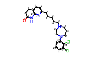 O=C1CCc2ccc(CCCCCN3CCCN(c4cccc(Cl)c4Cl)CC3)nc2N1